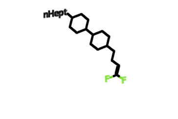 CCCCCCCC1CCC(C2CCC(CCC=C(F)F)CC2)CC1